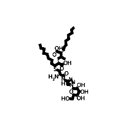 CCCCCCCCC[C@@H](C(=O)O)C(C)C[C@H](C(=O)O)C(CCCCCCCC)SC[C@@H](N)C(=O)Nc1cn([C@H]2OC(CO)C(O)C(O)C2O)nn1